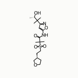 C[C@H](O)C(C)(C)c1cc(NC(=O)C(C)(C)S(=O)(=O)CC[C@H]2CCOC2)on1